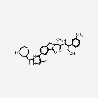 Cc1cccc([C@@H](CO)NC(=O)[C@@H](C)N2Cc3ccc(-c4nc(NC5CNCCOC5)ncc4Cl)cc3C2=O)c1